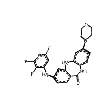 O=C1Nc2ccc(N3CCOCC3)cc2Nc2cc(Nc3cc(F)nc(F)c3F)ccc21